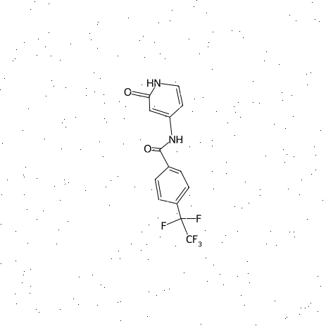 O=C(Nc1cc[nH]c(=O)c1)c1ccc(C(F)(F)C(F)(F)F)cc1